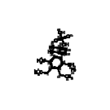 CCc1c(N)ccc(N)c1CC.N#CS.N#CS.O=S(=O)(O)O.[Fe]